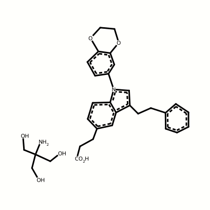 NC(CO)(CO)CO.O=C(O)CCc1ccc2c(c1)c(CCc1ccccc1)cn2-c1ccc2c(c1)OCCO2